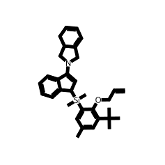 C=CCOc1c(C(C)(C)C)cc(C)cc1[Si](C)(C)C1C=C(N2CC3=CC=CCC3C2)c2ccccc21